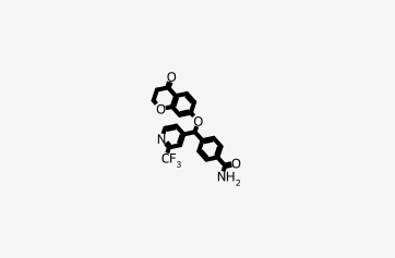 NC(=O)c1ccc(C(Oc2ccc3c(c2)OCCC3=O)c2ccnc(C(F)(F)F)c2)cc1